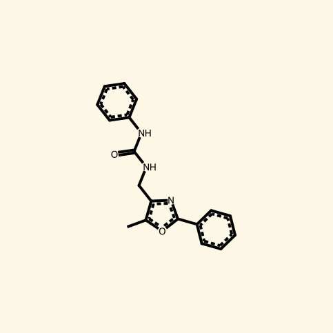 Cc1oc(-c2ccccc2)nc1CNC(=O)Nc1ccccc1